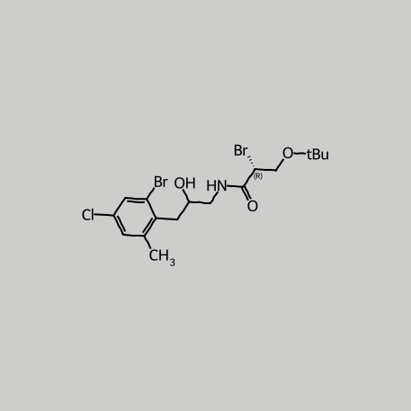 Cc1cc(Cl)cc(Br)c1CC(O)CNC(=O)[C@H](Br)COC(C)(C)C